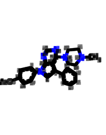 COc1ccc(-n2cc(-c3ccccc3)c3c(N4CCN(C)CC4)ncnc32)cc1